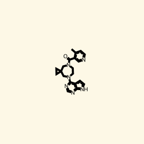 Cc1ccncc1C(=O)N1CCN(c2ncnc3[nH]ccc23)CC2(CC2)C1